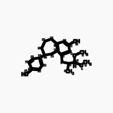 CO[SiH](OC)C(C)Cc1cc(O)cc2c1CC(c1ccc(O)cc1)CCC2